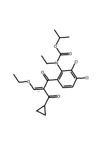 CCO/C=C(\C(=O)c1ccc(Cl)c(Cl)c1N(CC)C(=O)OC(C)C)C(=O)C1CC1